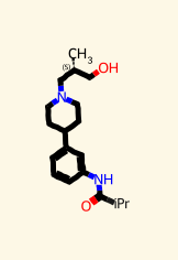 CC(C)C(=O)Nc1cccc(C2CCN(C[C@H](C)CO)CC2)c1